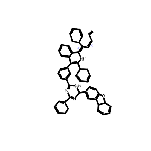 C=C/C=C\C(=C1/NC(C2C=CC=CC2)=C(c2cccc(C3=NC(C4=CC=CCC4)=NC(c4ccc5c(c4)C4C=CC=CC4O5)N3)c2)c2ccccc21)C1C=CC=CC1